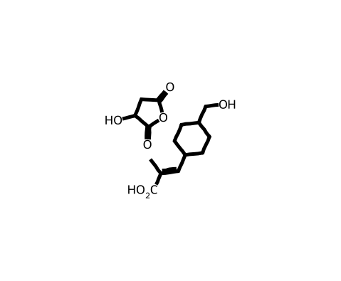 CC(=CC1CCC(CO)CC1)C(=O)O.O=C1CC(O)C(=O)O1